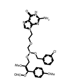 CO/C(COP(COCCn1cnc2c(=O)[nH]c(N)nc21)OCc1cccc(Cl)c1)=C(\OC=O)c1ccc(OC)cc1